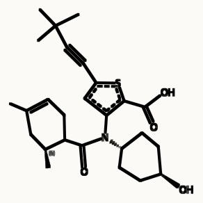 CC1=CCC(C(=O)N(c2cc(C#CC(C)(C)C)sc2C(=O)O)[C@H]2CC[C@H](O)CC2)[C@@H](C)C1